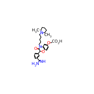 C[C@@H]1CCC[C@H](C)N1CCCCCN1C(=O)C(c2cccc(C(=N)N)c2)Oc2ccc(OCC(=O)O)cc21